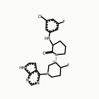 O=C1C(Nc2cc(F)cc(Cl)c2)CCCN1[C@H]1CN(c2ncnc3[nH]ccc23)CCC1F